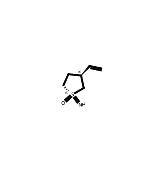 C=C[C@@H]1CC[S@](=N)(=O)C1